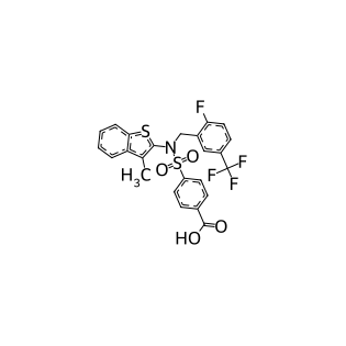 Cc1c(N(Cc2cc(C(F)(F)F)ccc2F)S(=O)(=O)c2ccc(C(=O)O)cc2)sc2ccccc12